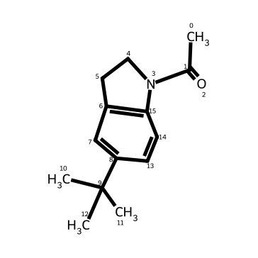 CC(=O)N1CCc2cc(C(C)(C)C)ccc21